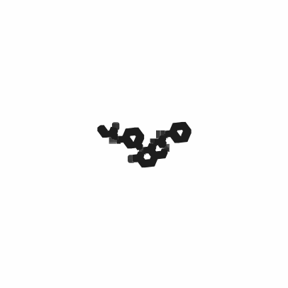 C=CC(=O)Nc1cccc(-n2c(=O)ccc3cnc(Nc4ccccc4)nc32)c1